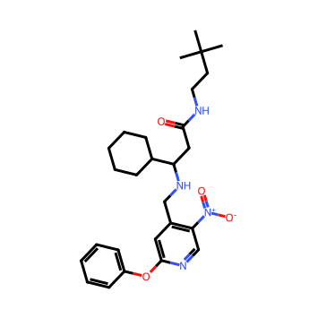 CC(C)(C)CCNC(=O)CC(NCc1cc(Oc2ccccc2)ncc1[N+](=O)[O-])C1CCCCC1